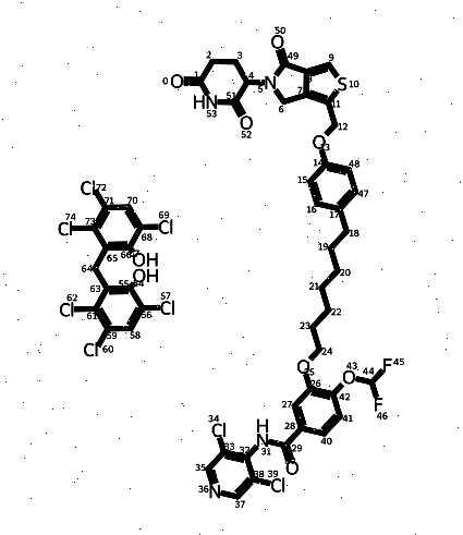 O=C1CCC(N2Cc3c(csc3COc3ccc(CCCCCCCOc4cc(C(=O)Nc5c(Cl)cncc5Cl)ccc4OC(F)F)cc3)C2=O)C(=O)N1.Oc1c(Cl)cc(Cl)c(Cl)c1Cc1c(O)c(Cl)cc(Cl)c1Cl